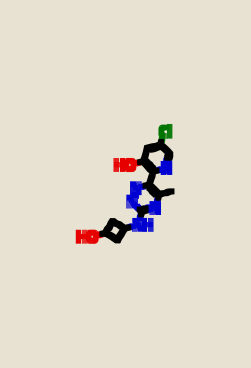 Cc1nc(NC2CC(O)C2)nnc1-c1ncc(Cl)cc1O